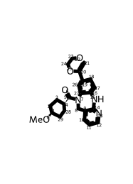 CO[C@H]1CC[C@H](C(=O)N2Cc3cccnc3Nc3ccc(C4=COCCO4)cc32)CC1